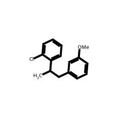 [CH2]C(Cc1cccc(OC)c1)c1ccccc1Cl